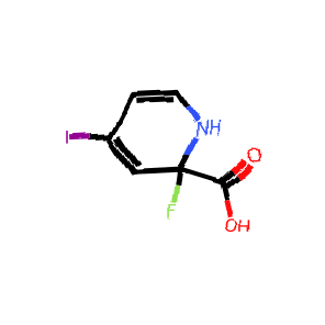 O=C(O)C1(F)C=C(I)C=CN1